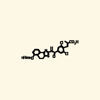 CCCCCCOc1cccc2c1CCc1sc(NC(=O)c3cc(Cl)c(C=C(C)C(=O)O)c(Cl)c3)nc1-2